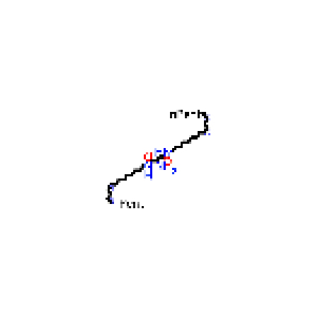 CCCCC/C=C\C/C=C\CCCCCCCCNC(=O)CC(N)C(=O)NCCCCCCCC/C=C\C/C=C\CCCCC